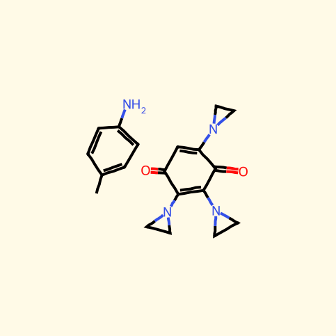 Cc1ccc(N)cc1.O=C1C=C(N2CC2)C(=O)C(N2CC2)=C1N1CC1